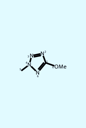 COc1nnn(C)n1